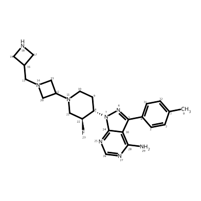 Cc1ccc(-c2nn([C@H]3CCN(C4CN(CC5CNC5)C4)C[C@@H]3F)c3ncnc(N)c23)cc1